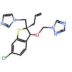 C=CC[C@]1(Cn2ccnc2)Sc2cc(Cl)ccc2[C@@H]1OCn1cncn1